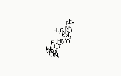 CN(C)c1nc(C(F)(F)F)ccc1C=CC(=O)NCc1cc(F)c(NS(C)(=O)=O)c(C#N)c1